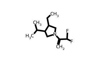 C=C(C(F)F)N1CC(CC)C(C(C)C)C1